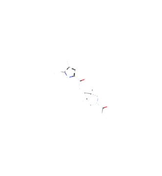 Cc1[nH]c(C(=O)N[C@@H]2[C@@H]3CN(C(=O)C(F)(F)F)C[C@@H]32)c(Cl)c1Cl